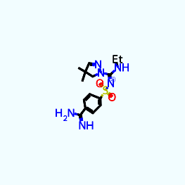 CCN/C(=N/S(=O)(=O)c1ccc(C(=N)N)cc1)N1CC(C)(C)C=N1